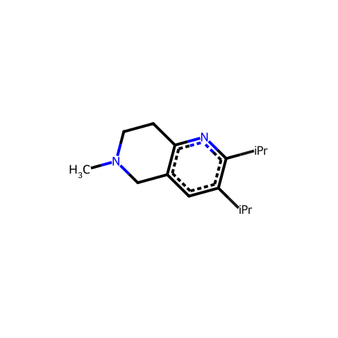 CC(C)c1cc2c(nc1C(C)C)CCN(C)C2